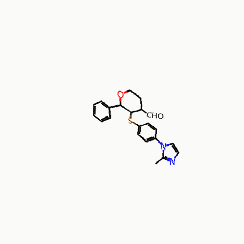 Cc1nccn1-c1ccc(SC2C(C=O)CCOC2c2ccccc2)cc1